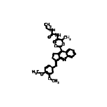 CCNC(=O)NC(=O)C(C)OC(=O)c1c2c(nc3ccccc13)C(=Cc1ccc(OC)c(OC)c1)CC2